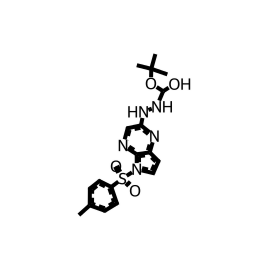 Cc1ccc(S(=O)(=O)n2ccc3nc(NNC(O)OC(C)(C)C)cnc32)cc1